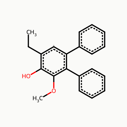 CCc1[c]c(-c2ccccc2)c(-c2ccccc2)c(OC)c1O